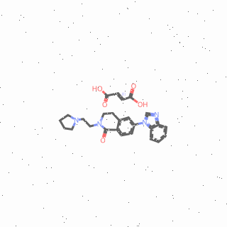 O=C(O)/C=C/C(=O)O.O=C1c2ccc(-n3cnc4ccccc43)cc2CCN1CCN1CCCC1